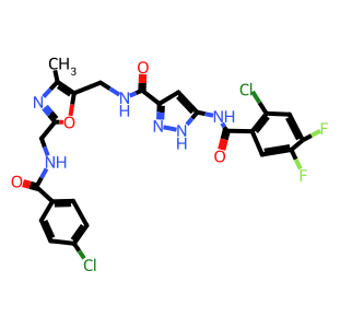 Cc1nc(CNC(=O)c2ccc(Cl)cc2)oc1CNC(=O)c1cc(NC(=O)c2cc(F)c(F)cc2Cl)[nH]n1